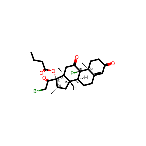 CCCC(=O)O[C@@]1(C(=O)CBr)[C@@H](C)C[C@H]2[C@@H]3CCC4=CC(=O)CC[C@]4(C)[C@@]3(F)C(=O)C[C@@]21C